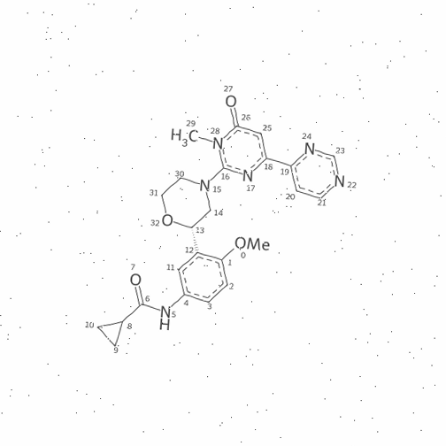 COc1ccc(NC(=O)C2CC2)cc1[C@H]1CN(c2nc(-c3ccncn3)cc(=O)n2C)CCO1